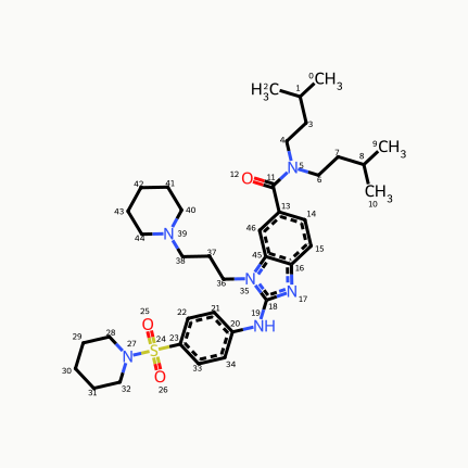 CC(C)CCN(CCC(C)C)C(=O)c1ccc2nc(Nc3ccc(S(=O)(=O)N4CCCCC4)cc3)n(CCCN3CCCCC3)c2c1